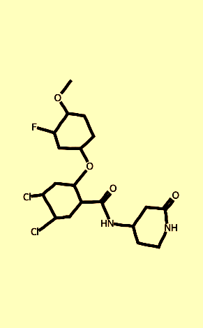 COC1CCC(OC2CC(Cl)C(Cl)CC2C(=O)NC2CCNC(=O)C2)CC1F